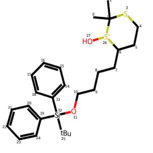 CC1(C)SCCC(CCCCO[Si](c2ccccc2)(c2ccccc2)C(C)(C)C)[S+]1O